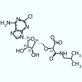 CC(C)CNC(=O)[C@@H](OC[C@H]1O[C@@H](n2cnc3c(N)nc(Cl)nc32)[C@H](O)[C@@H]1O)P(=O)=O